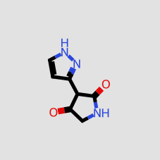 O=C1CNC(=O)C1c1cc[nH]n1